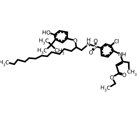 CCCCCCCCCCCCC(CNS(=O)(=O)c1ccc(NC(=CC(=O)OCC)CC)c(Cl)c1)Oc1ccc(O)c(C(C)(C)C)c1